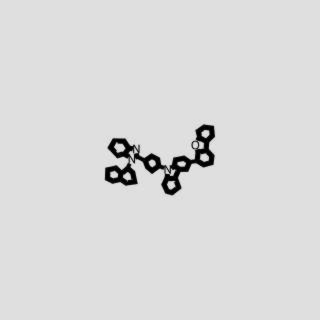 c1ccc2c(-n3c(-c4ccc(-n5c6ccccc6c6cc(-c7cccc8c7oc7ccccc78)ccc65)cc4)nc4ccccc43)cccc2c1